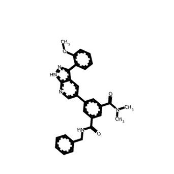 COc1ccccc1-c1n[nH]c2ncc(-c3cc(C(=O)NCc4ccccc4)cc(C(=O)N(C)C)c3)cc12